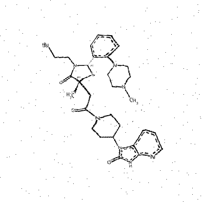 CN1CCN(c2ccccc2[C@@H]2S[C@](C)(CC(=O)N3CCC(n4c(=O)[nH]c5ncccc54)CC3)C(=O)N2CCC(C)(C)C)CC1